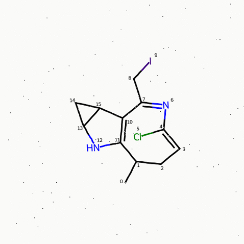 CC1C/C=C(Cl)/N=C(/CI)C2=C1NC1CC21